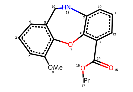 COc1cccc2c1Oc1c(cccc1C(=O)OC(C)C)NC2